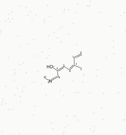 C=C\C(C)=C/C=C(O)\C=N/C